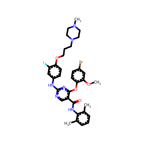 COc1cc(Br)ccc1Oc1nc(Nc2ccc(OCCCN3CCN(C)CC3)c(F)c2)ncc1C(=O)Nc1c(C)cccc1C